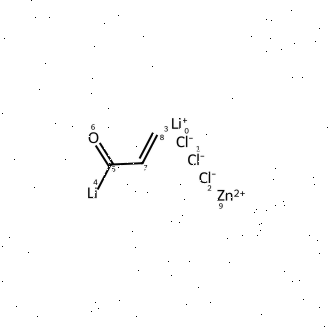 [Cl-].[Cl-].[Cl-].[Li+].[Li][C](=O)C=C.[Zn+2]